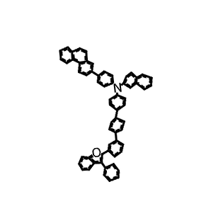 c1ccc(-c2c(-c3cccc(-c4ccc(-c5ccc(N(c6ccc(-c7ccc8c(ccc9ccccc98)c7)cc6)c6ccc7ccccc7c6)cc5)cc4)c3)oc3ccccc23)cc1